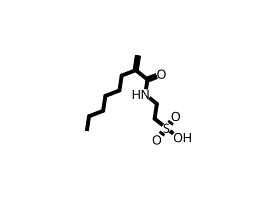 C=C(CCCCCC)C(=O)NCCS(=O)(=O)O